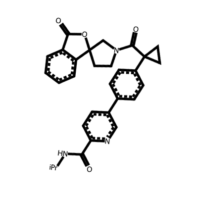 CC(C)NC(=O)c1ccc(-c2ccc(C3(C(=O)N4CCC5(C4)OC(=O)c4ccccc45)CC3)cc2)cn1